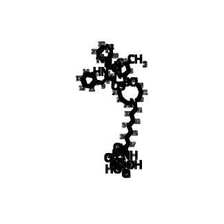 CC(C)CC(NC(=O)[C@@H](Cc1ccccc1)NC(=O)c1cnccn1)B1OCCCN(CCCCCCCC(=O)NC(P(=O)(O)O)P(=O)(O)O)CCCO1